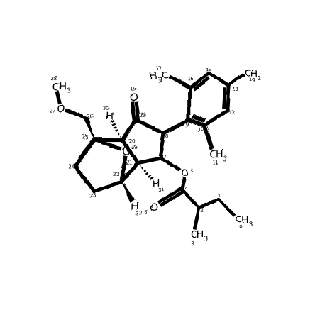 CCC(C)C(=O)OC1C(c2c(C)cc(C)cc2C)C(=O)[C@H]2[C@@H]1[C@@H]1CC[C@@]2(COC)O1